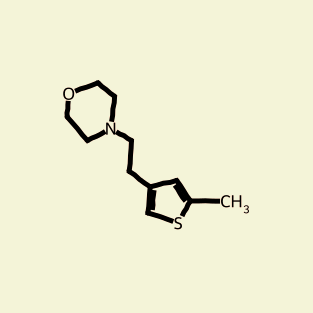 Cc1cc(CCN2CCOCC2)cs1